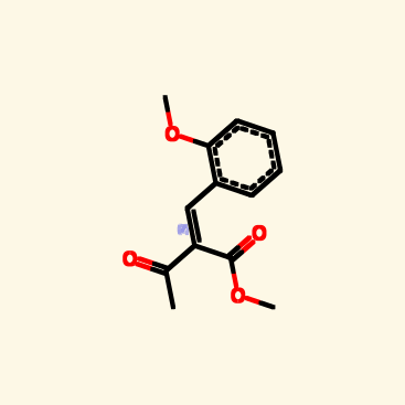 COC(=O)/C(=C\c1ccccc1OC)C(C)=O